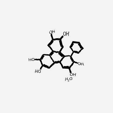 O.Oc1cc2c3cc(O)c(O)cc3c3c(-c4ccccc4)c(O)c(O)cc3c2cc1O